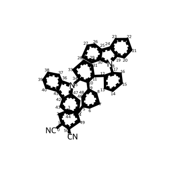 N#Cc1ccc(-c2cccc(-c3c(-c4ccccc4-n4c5ccccc5c5ccccc54)cccc3-n3c4ccccc4c4ccccc43)c2)cc1C#N